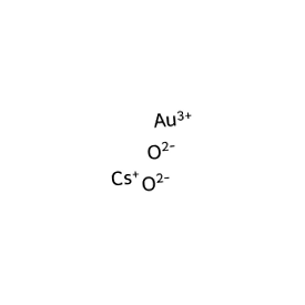 [Au+3].[Cs+].[O-2].[O-2]